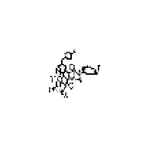 CCC(O)CNC(=O)c1nc(C(=O)Nc2ccc(F)cc2)c2cc(Cc3ccc(F)cc3)cnc2c1O